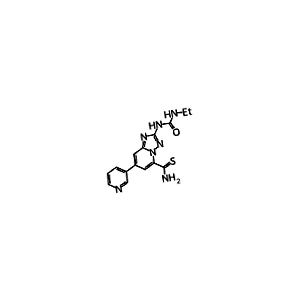 CCNC(=O)Nc1nc2cc(-c3cccnc3)cc(C(N)=S)n2n1